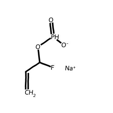 C=CC(F)O[PH](=O)[O-].[Na+]